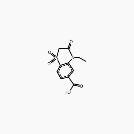 CCN1C(=O)CS(=O)(=O)c2ccc(C(=O)O)cc21